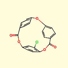 O=c1oc2ccc(oc(=O)c3ccc(cc3)oc3ccc1cc3)c(Cl)c2